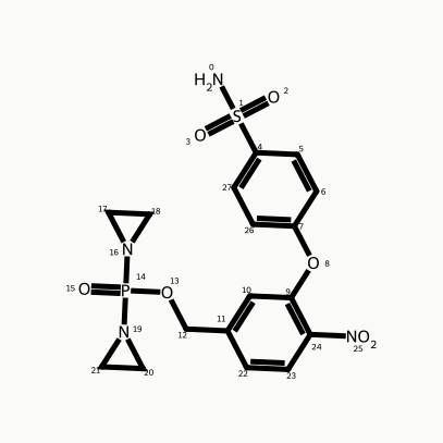 NS(=O)(=O)c1ccc(Oc2cc(COP(=O)(N3CC3)N3CC3)ccc2[N+](=O)[O-])cc1